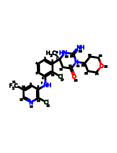 C[C@@]1(c2cccc(Nc3cc(C(F)(F)F)cnc3Cl)c2Cl)CC(=O)N(C2CCOCC2)C(=N)N1